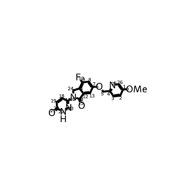 COc1ccc(COc2cc(F)c3c(c2)C(=O)N(c2ccc(=O)[nH]n2)C3)nc1